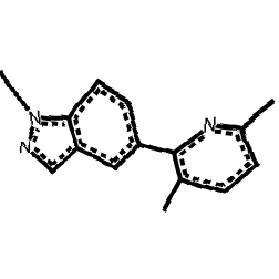 Cc1ccc(C)c(-c2ccc3c(cnn3C)c2)n1